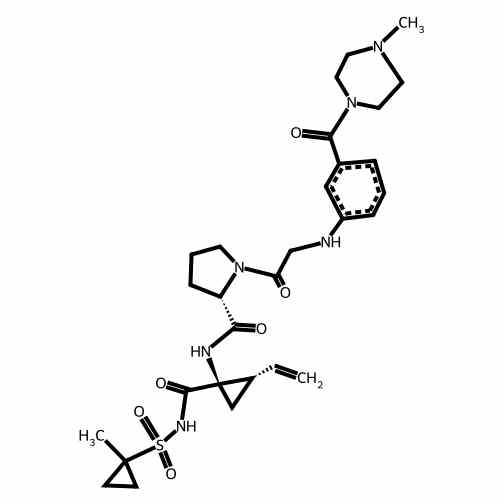 C=C[C@@H]1C[C@]1(NC(=O)[C@@H]1CCCN1C(=O)CNc1cccc(C(=O)N2CCN(C)CC2)c1)C(=O)NS(=O)(=O)C1(C)CC1